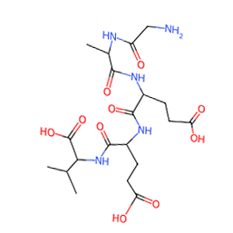 CC(NC(=O)CN)C(=O)NC(CCC(=O)O)C(=O)NC(CCC(=O)O)C(=O)NC(C(=O)O)C(C)C